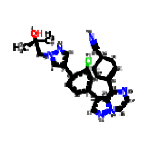 CC(C)(O)Cn1cc(-c2ccc(-c3cnn4ccnc(C5=CCC(C#N)CC5)c34)cc2Cl)cn1